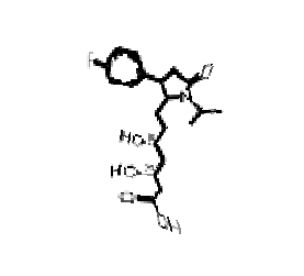 CC(C)N1C(=O)CC(c2ccc(F)cc2)C1CC[C@@H](O)C[C@@H](O)CC(=O)O